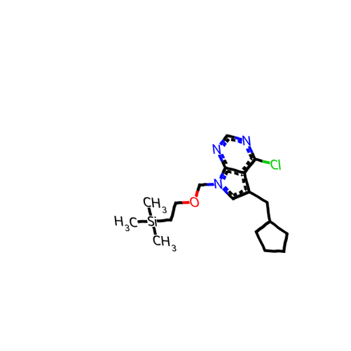 C[Si](C)(C)CCOCn1cc(CC2CCCC2)c2c(Cl)ncnc21